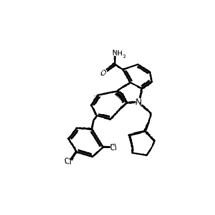 NC(=O)c1cccc2c1c1[c]cc(-c3ccc(Cl)cc3Cl)cc1n2CC1CCCC1